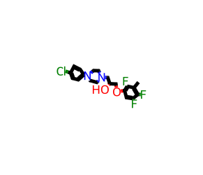 Cc1c(F)c(F)cc(OCC(O)CN2CCN(c3ccc(Cl)cc3)CC2)c1F